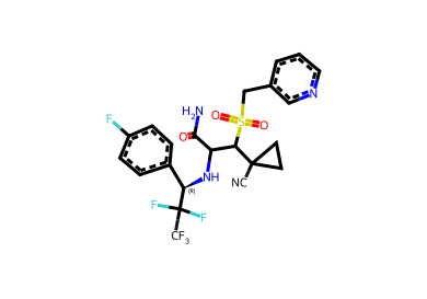 N#CC1(C(C(N[C@H](c2ccc(F)cc2)C(F)(F)C(F)(F)F)C(N)=O)S(=O)(=O)Cc2cccnc2)CC1